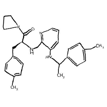 Cc1ccc(C[C@H](Nc2ncccc2NC(C)c2ccc(C)cc2)C(=O)N2CCC2)cc1